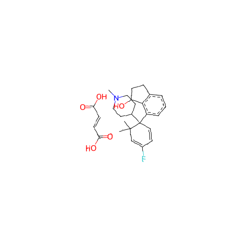 CN1CCC(C2(c3cccc4c3C(O)CC4)C=CC(F)=CC2(C)C)CC1.O=C(O)/C=C/C(=O)O